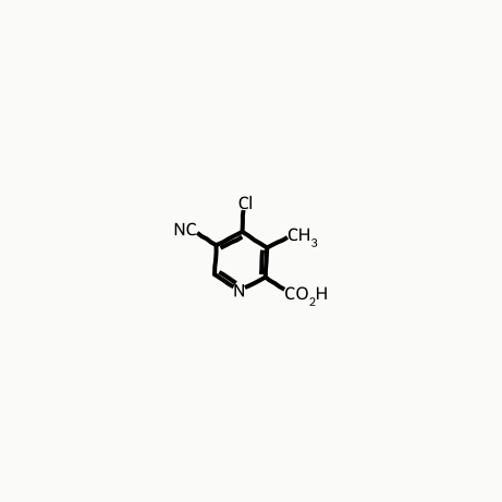 Cc1c(C(=O)O)ncc(C#N)c1Cl